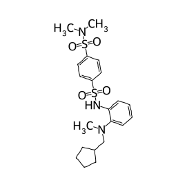 CN(CC1CCCC1)c1ccccc1NS(=O)(=O)c1ccc(S(=O)(=O)N(C)C)cc1